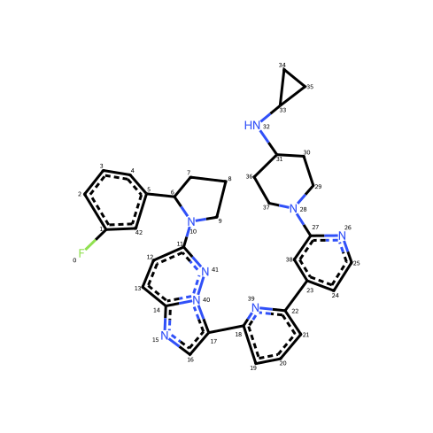 Fc1cccc(C2CCCN2c2ccc3ncc(-c4cccc(-c5ccnc(N6CCC(NC7CC7)CC6)c5)n4)n3n2)c1